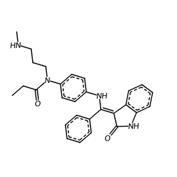 CCC(=O)N(CCCNC)c1ccc(NC(=C2C(=O)Nc3ccccc32)c2ccccc2)cc1